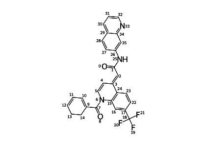 O=C(C=C1C=CN(C(=O)C2=CC=CCC2)c2cc(C(F)(F)F)ccc21)Nc1ccc2cccnc2c1